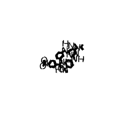 CN[C@H]1CC[C@H](Nc2nc(Nc3cccc(NC(=O)c4ccc([N+](=O)[O-])cc4)c3)c3ncn(C(C)C)c3n2)CC1